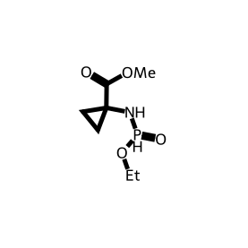 CCO[PH](=O)NC1(C(=O)OC)CC1